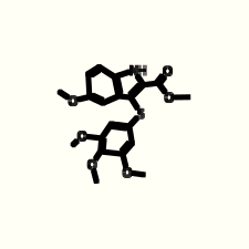 COC(=O)c1[nH]c2ccc(OC)cc2c1Sc1cc(OC)c(OC)c(OC)c1